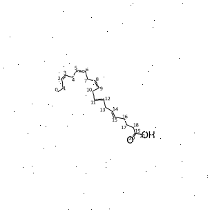 CC/C=C\C/C=C\C/C=C\C/C=C/C/C=C/CCCC(=O)O